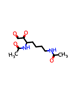 CC(=O)NCCCCC(NC(C)=O)C(=O)C=O